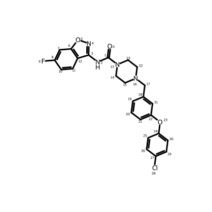 O=C(Nc1noc2cc(F)ccc12)N1CCN(Cc2cccc(Oc3ccc(Cl)cc3)c2)CC1